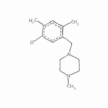 Cc1cc(C)c(CN2CCN(C)CC2)cc1Cl